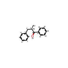 C[C@H](Cc1ccccc1)C(=O)c1ccccc1